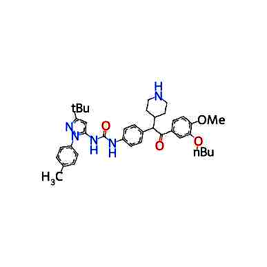 CCCCOc1cc(C(=O)C(c2ccc(NC(=O)Nc3cc(C(C)(C)C)nn3-c3ccc(C)cc3)cc2)C2CCNCC2)ccc1OC